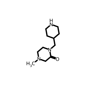 CN1CCN(CC2CCNCC2)C(=O)C1